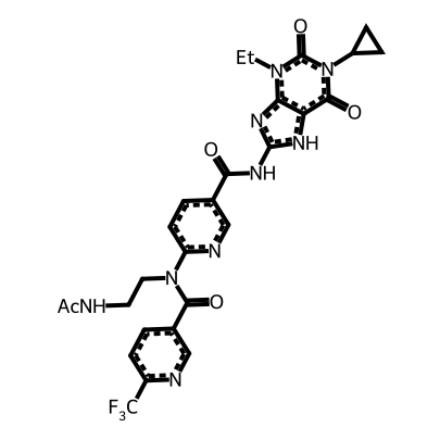 CCn1c(=O)n(C2CC2)c(=O)c2[nH]c(NC(=O)c3ccc(N(CCNC(C)=O)C(=O)c4ccc(C(F)(F)F)nc4)nc3)nc21